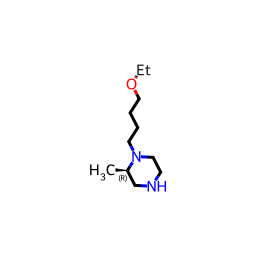 CCOCCCCN1CCNC[C@H]1C